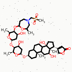 CC1CN(CS(C)(=O)=O)CCC(O[C@@H]2[C@H](C)O[C@@H](O[C@@H]3[C@H](C)O[C@@H](O[C@H]4CC[C@@]5(C)C(CCC6C5C[C@H](O)[C@]5(C)[C@@H](C7=CC(=O)OC7)CC[C@]65O)C4)C[C@@H]3O)C[C@@H]2O)O1